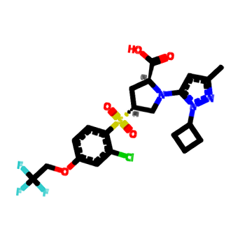 Cc1cc(N2C[C@H](S(=O)(=O)c3ccc(OCC(F)(F)F)cc3Cl)C[C@H]2C(=O)O)n(C2CCC2)n1